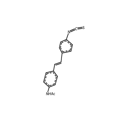 CC(=O)Nc1ccc(C=Cc2ccc(N=C=S)cc2)cc1